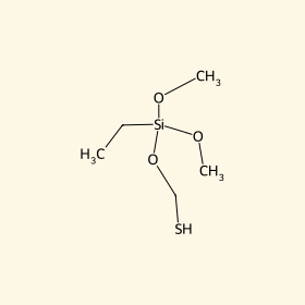 CC[Si](OC)(OC)OCS